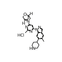 Cc1nc(N2C[C@@H]3C[C@H]2CO3)cc(-n2ncc3cc(C)c(C4CCNCC4)cc32)n1.Cl